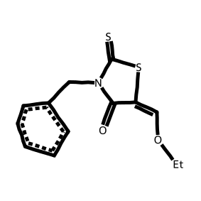 CCO/C=C1/SC(=S)N(Cc2ccccc2)C1=O